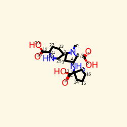 CN1CCC[C@H]1C(=O)O.NC1(C(=O)O)CCCC1.O=C(O)C1CCCCN1